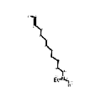 C/C=C/CCCCCCCCCN(CC)CC